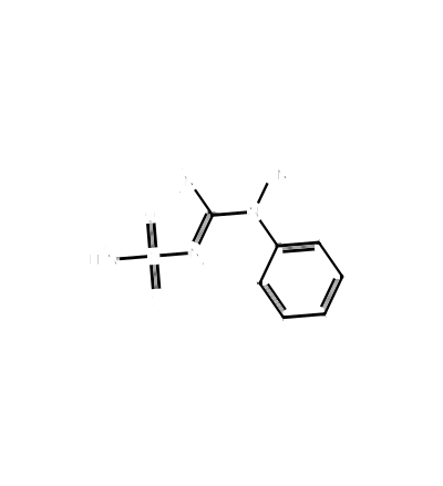 N#CN(C(N)=NS(N)(=O)=O)c1ccccc1